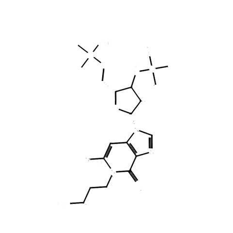 CC(C)(C)[Si](C)(C)OC[C@H]1O[C@@H](n2cnc3c(=O)n(CCCC(=O)O)c(N)cc32)CC1O[Si](C)(C)C(C)(C)C